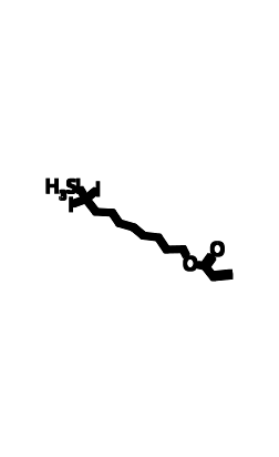 C=CC(=O)OCCCCCCCCC([SiH3])(I)I